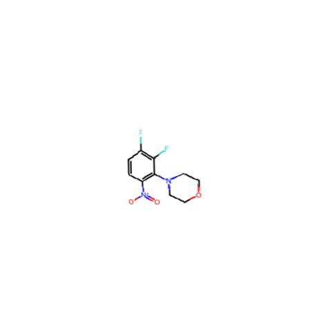 O=[N+]([O-])c1ccc(F)c(F)c1N1CCOCC1